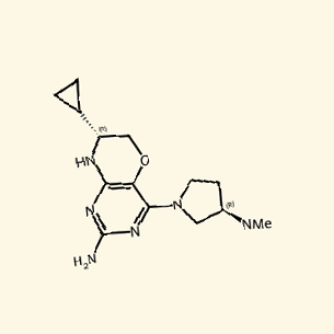 CN[C@@H]1CCN(c2nc(N)nc3c2OC[C@@H](C2CC2)N3)C1